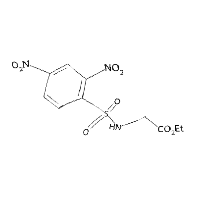 CCOC(=O)CNS(=O)(=O)c1ccc([N+](=O)[O-])cc1[N+](=O)[O-]